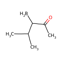 BC(C(C)=O)C(C)C